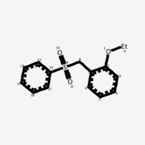 CCOc1ccccc1CS(=O)(=O)c1ccccc1